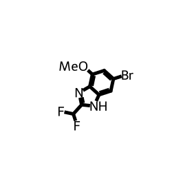 COc1cc(Br)cc2[nH]c(C(F)F)nc12